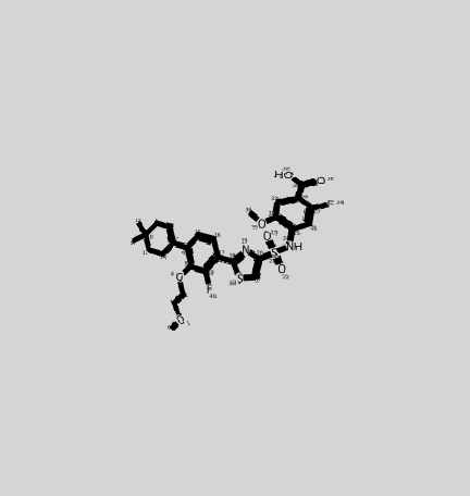 COCCOc1c(C2=CCC(C)(C)CC2)ccc(-c2nc(S(=O)(=O)Nc3cc(F)c(C(=O)O)cc3OC)cs2)c1F